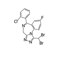 Fc1ccc2c(c1)C(c1ccccc1Cl)=NCc1nnc(C(Br)Br)n1-2